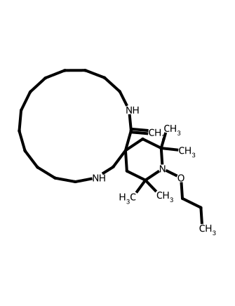 C=C1NCCCCCCCCCCCCNCC12CC(C)(C)N(OCCC)C(C)(C)C2